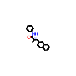 C/C(=C\c1ccc2ccccc2c1)C(=O)Nc1ccccc1